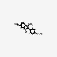 CCOc1ccc2c(N)c(-c3ccc(NC(C)=O)cc3)n(CC)c2c1